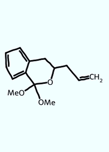 C=CCC1Cc2ccccc2C(OC)(OC)O1